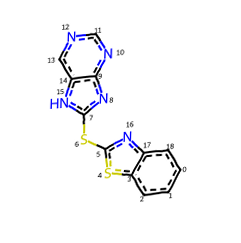 c1ccc2sc(Sc3nc4ncncc4[nH]3)nc2c1